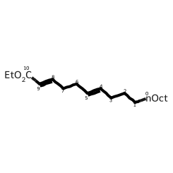 CCCCCCCCCCCC=CCCC=CC(=O)OCC